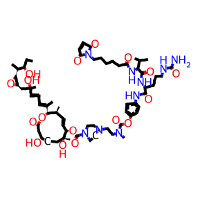 CCC(O)C(C)[C@H]1O[C@@H]1CC(C)(O)/C=C/C=C(\C)[C@H]1OC(=O)C[C@H](O)CC[C@@](C)(O)[C@@H](OC(=O)N2CCN(CCN(C)C(=O)Oc3ccc(NC(=O)C(CCCNC(N)=O)NC(=O)C(NC(=O)CCCCCN4C(=O)C=CC4=O)C(C)C)cc3)CC2)/C=C/[C@@H]1C